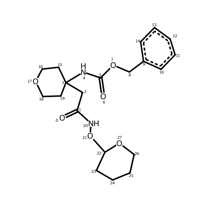 O=C(CC1(NC(=O)OCc2ccccc2)CCOCC1)NOC1CCCCO1